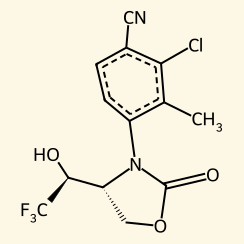 Cc1c(N2C(=O)OC[C@@H]2[C@H](O)C(F)(F)F)ccc(C#N)c1Cl